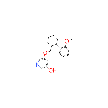 COc1ccccc1C1CCCCC1COc1cncc(O)c1